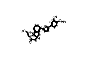 CC(C)Oc1ccc(-c2ccc(-c3cccc4c3C[C@H]3CC(=O)N(CCO)[C@@H]43)s2)cc1C#N